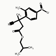 Cc1cc([N+](=O)[O-])ccc1C(C)(C#N)CC(=O)OCC(C)C